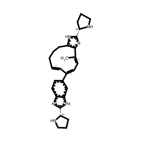 C\C1=C/C=C(c2ccc3nc([C@@H]4CCCN4)[pH]c3c2)\C=C\CCCc2[nH]c([C@@H]3CCCN3)nc21